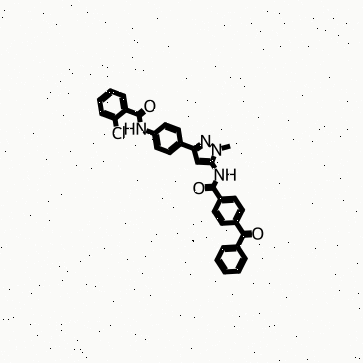 Cn1nc(-c2ccc(NC(=O)c3ccccc3Cl)cc2)cc1NC(=O)c1ccc(C(=O)c2ccccc2)cc1